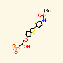 CN(C(=O)OC(C)(C)C)c1ccc(-c2cc3ccc(OC[C@@H](O)COS(C)(=O)=O)cc3s2)cc1